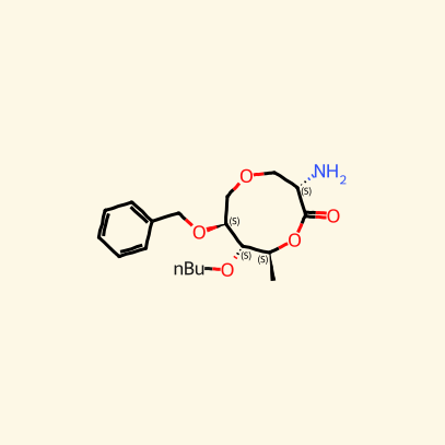 CCCCO[C@H]1[C@H](C)OC(=O)[C@@H](N)COC[C@@H]1OCc1ccccc1